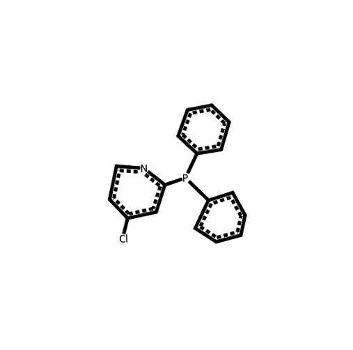 Clc1ccnc(P(c2ccccc2)c2ccccc2)c1